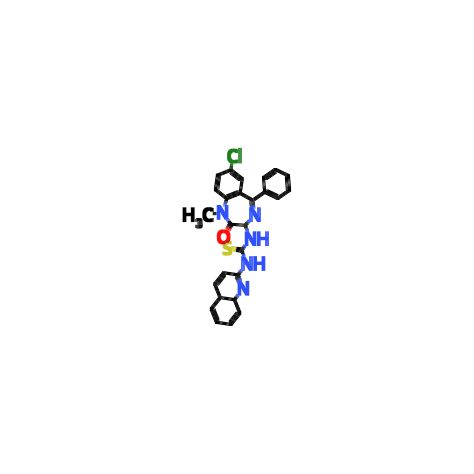 CN1C(=O)C(NC(=S)NC2=NC3C=CC=CC3C=C2)N=C(c2ccccc2)c2cc(Cl)ccc21